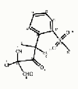 CCC(C)(C(=O)C(Cl)(C#N)C=O)c1ccccc1S(C)(=O)=O